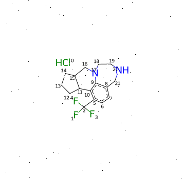 Cl.FC(F)(F)c1ccc2c3c1C1CCCC1CN3CCNC2